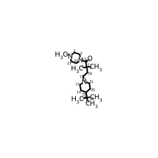 CN1CCN(C(=O)C(C)(C)CCN2CCC(C(C)(C)C)CC2)CC1